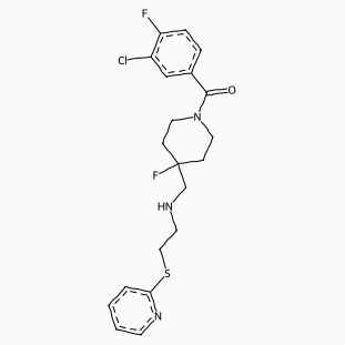 O=C(c1ccc(F)c(Cl)c1)N1CCC(F)(CNCCSc2ccccn2)CC1